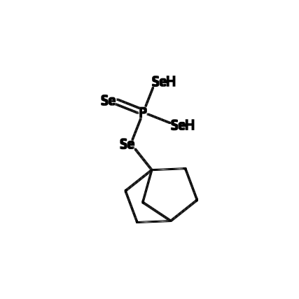 [Se]=P([SeH])([SeH])[Se]C12CCC(CC1)C2